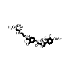 COc1ccc(-c2cnc(C(=O)Nc3ccc(C(=O)NCCNC(=O)CN(C)C)c(Cl)c3)n2C)c(F)c1F